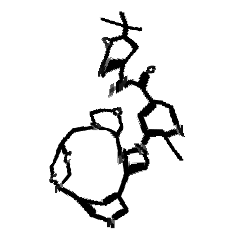 Cc1ncc(C(=O)Nc2cc(C(C)(C)C)on2)cc1-n1cc2n1C1COCCN1CC1CCN(CC1)c1cncc-2c1